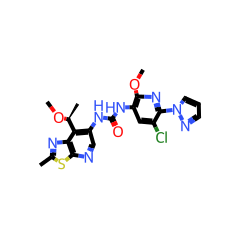 COc1nc(-n2cccn2)c(Cl)cc1NC(=O)Nc1cnc2sc(C)nc2c1[C@H](C)OC